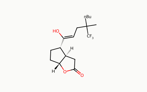 CCCCC(C)(CC=C(O)[C@H]1CC[C@H]2OC(=O)C[C@H]12)C(F)(F)F